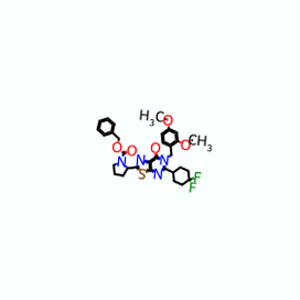 COc1ccc(Cn2c(C3CCC(F)(F)CC3)nc3sc(C4CCCN4C(=O)OCc4ccccc4)nc3c2=O)c(OC)c1